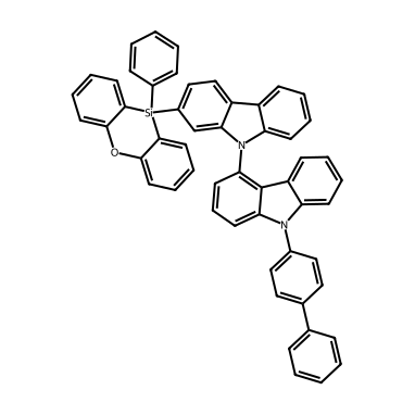 c1ccc(-c2ccc(-n3c4ccccc4c4c(-n5c6ccccc6c6ccc([Si]7(c8ccccc8)c8ccccc8Oc8ccccc87)cc65)cccc43)cc2)cc1